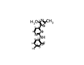 Cc1nc(C)c(-c2ccnc(Nc3ccc(I)cc3F)n2)s1